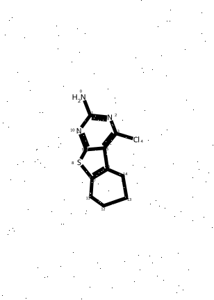 Nc1nc(Cl)c2c3c(sc2n1)CCCC3